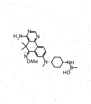 CO/N=C1\c2cc(N(C)[C@H]3CC[C@H](NB(C)O)CC3)ccc2-c2ncnc(N)c2C1(C)C